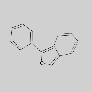 c1ccc(-c2occ3ccccc23)cc1